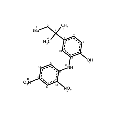 CC(C)(C)CC(C)(C)c1ccc(O)c(Nc2ccc([N+](=O)[O-])cc2[N+](=O)[O-])c1